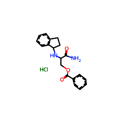 Cl.NC(=O)C(COC(=O)c1ccccc1)NC1CCc2ccccc21